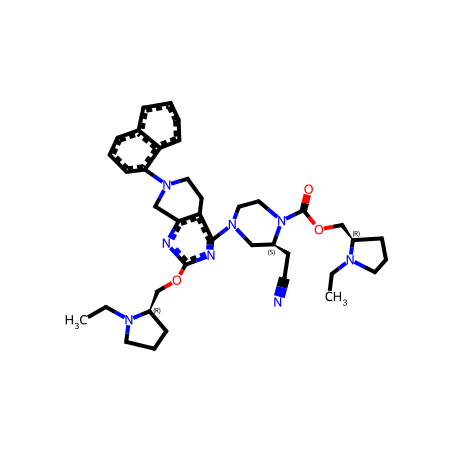 CCN1CCC[C@@H]1COC(=O)N1CCN(c2nc(OC[C@H]3CCCN3CC)nc3c2CCN(c2cccc4ccccc24)C3)C[C@@H]1CC#N